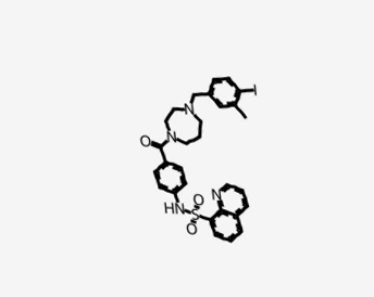 Cc1cc(CN2CCCN(C(=O)c3ccc(NS(=O)(=O)c4cccc5cccnc45)cc3)CC2)ccc1I